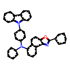 c1ccc(-c2nc3c(ccc4c(N(c5ccccc5)c5ccc(-n6c7ccccc7c7ccccc76)cc5)cccc43)o2)cc1